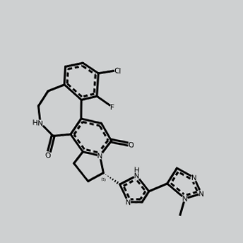 Cn1nncc1-c1cnc([C@@H]2CCc3c4c(cc(=O)n32)-c2c(ccc(Cl)c2F)CCNC4=O)[nH]1